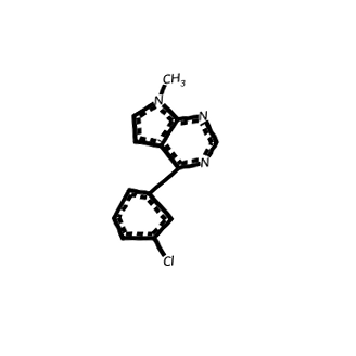 Cn1ccc2c(-c3cccc(Cl)c3)ncnc21